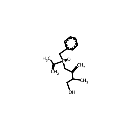 C=C(CP(=O)(Cc1ccccc1)C(=C)C)C(C)CO